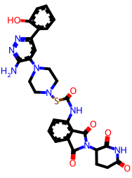 Nc1nnc(-c2ccccc2O)cc1N1CCN(SC(=O)Nc2cccc3c2C(=O)N(C2CCC(=O)NC2=O)C3=O)CC1